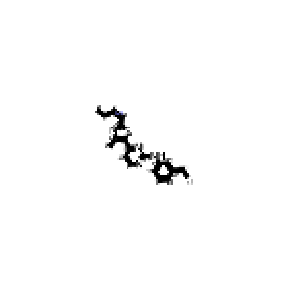 CC/C=C\c1nc(C)c(-c2ccnc(Nc3cccc(CC)c3)n2)s1